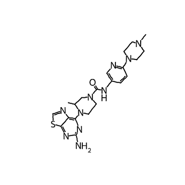 CC1CN(C(=O)Nc2ccc(N3CCN(C)CC3)nc2)CCN1c1nc(N)nc2scnc12